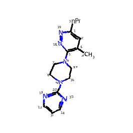 CCCc1cc(C)c(N2CCN(c3ncccn3)CC2)nn1